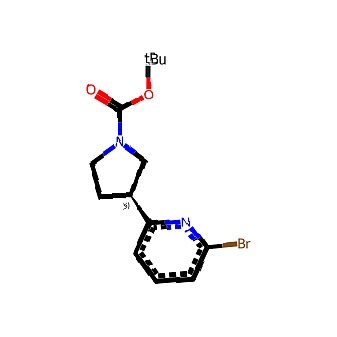 CC(C)(C)OC(=O)N1CC[C@H](c2cccc(Br)n2)C1